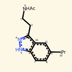 CC(=O)NCCc1n[nH]c2ccc(C(C)C)cc12